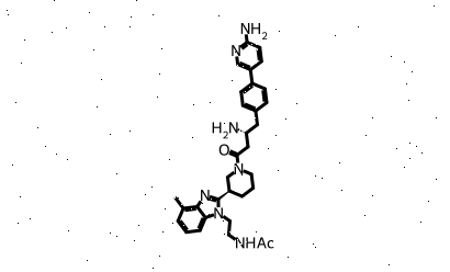 CC(=O)NCCn1c([C@@H]2CCCN(C(=O)C[C@H](N)Cc3ccc(-c4ccc(N)nc4)cc3)C2)nc2c(C)cccc21